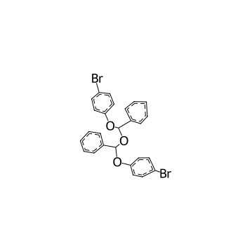 Brc1ccc(OC(OC(Oc2ccc(Br)cc2)c2ccccc2)c2ccccc2)cc1